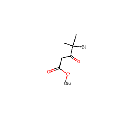 CCC(C)(C)C(=O)CC(=O)OC(C)(C)C